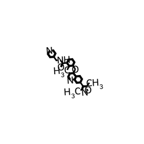 Cc1noc(C)c1-c1ccc2c(Oc3cccc(C(=O)NCc4ccncc4)c3C)ccnc2c1